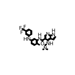 Cc1ccc(Nc2cccc(C(F)(F)F)c2)cc1NC(=O)c1cnc2[nH]ccc2c1NCN(C)C